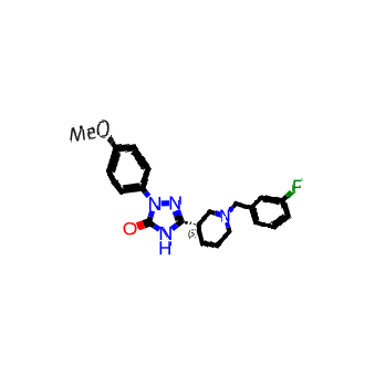 COc1ccc(-n2nc([C@H]3CCCN(Cc4cccc(F)c4)C3)[nH]c2=O)cc1